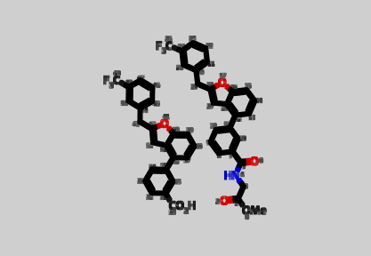 COC(=O)CNC(=O)c1cccc(-c2cccc3oc(Cc4cccc(C(F)(F)F)c4)cc23)c1.O=C(O)c1cccc(-c2cccc3oc(Cc4cccc(C(F)(F)F)c4)cc23)c1